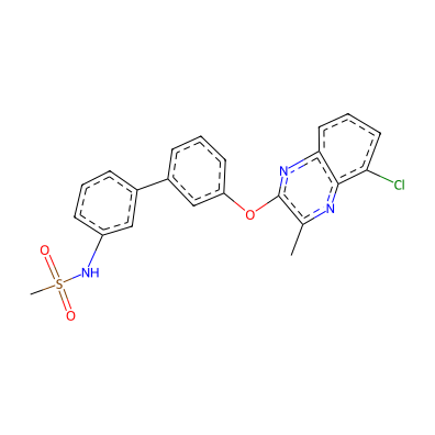 Cc1nc2c(Cl)cccc2nc1Oc1cccc(-c2cccc(NS(C)(=O)=O)c2)c1